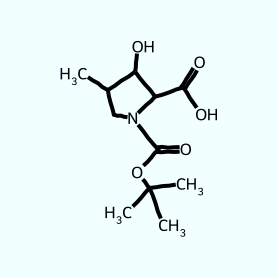 CC1CN(C(=O)OC(C)(C)C)C(C(=O)O)C1O